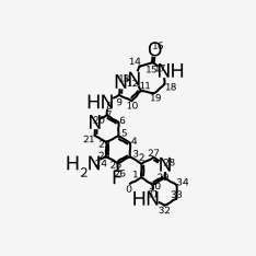 Cc1c(-c2cc3cc(Nc4cc5n(n4)CC(=O)NCC5)ncc3c(N)c2F)cnc2c1NCCC2